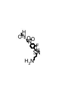 CC(=O)NC[C@H]1CN(c2ccc(-c3nnc(CCCN)s3)c(F)c2)C(=O)O1